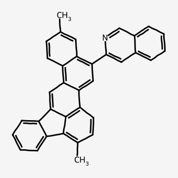 Cc1ccc2c(c1)c(-c1cc3ccccc3cn1)cc1c3ccc(C)c4c3c(cc21)-c1ccccc1-4